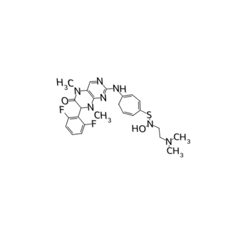 CN(C)CCN(O)SC1=CC=C(Nc2ncc3c(n2)N(C)C(c2c(F)cccc2F)C(=O)N3C)CC=C1